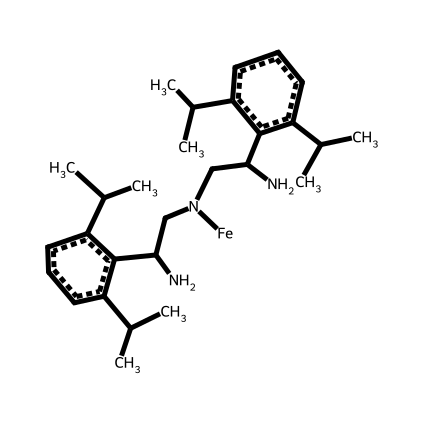 CC(C)c1cccc(C(C)C)c1C(N)C[N]([Fe])CC(N)c1c(C(C)C)cccc1C(C)C